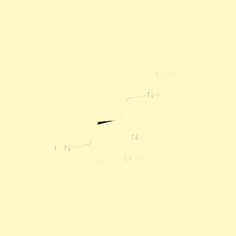 CCCCCCCNC(=O)[C@H](CC(N)=O)NC(=O)OCC